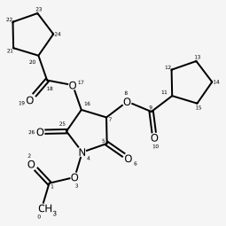 CC(=O)ON1C(=O)C(OC(=O)C2CCCC2)C(OC(=O)C2CCCC2)C1=O